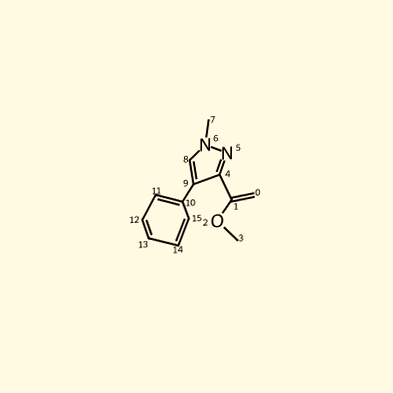 C=C(OC)c1nn(C)cc1-c1ccccc1